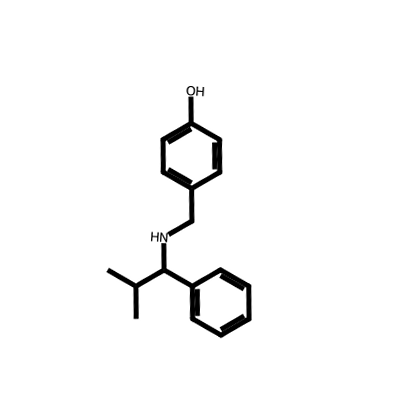 CC(C)C(NCc1ccc(O)cc1)c1ccccc1